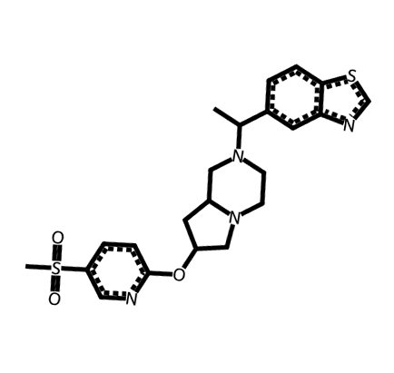 CC(c1ccc2scnc2c1)N1CCN2CC(Oc3ccc(S(C)(=O)=O)cn3)CC2C1